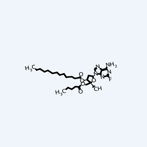 C#C[C@]1(COC(=O)CCCC)O[C@@H](n2cnc3c(N)nc(F)nc32)C[C@@H]1OC(=O)CCCCCCCCCCCC